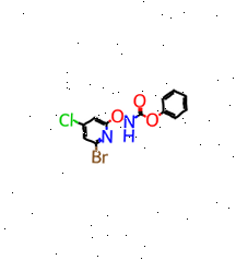 O=C(NOc1cc(Cl)cc(Br)n1)Oc1ccccc1